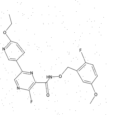 CCOc1ccc(-c2cnc(F)c(C(=O)NOCc3cc(OC)ccc3F)n2)cn1